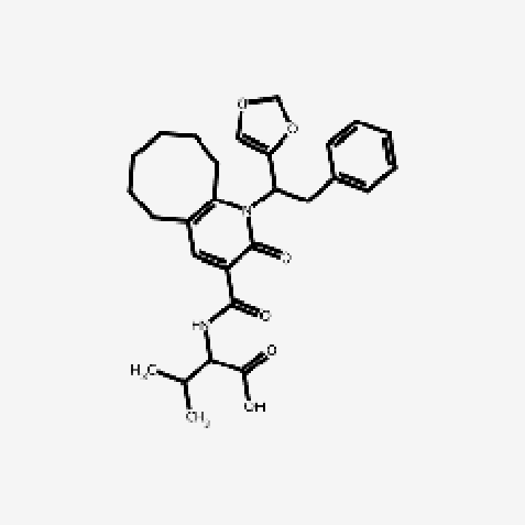 CC(C)C(NC(=O)c1cc2c(n(C(Cc3ccccc3)C3=COCO3)c1=O)CCCCCC2)C(=O)O